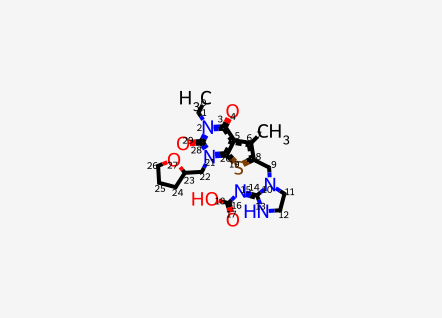 CCn1c(=O)c2c(C)c(CN3CCN/C3=N\C(=O)O)sc2n(CC2CCCO2)c1=O